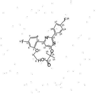 CCOc1cc(F)ccc1-c1cc(OC(C)(C)C(=O)O)nc(-c2ccc(F)cc2)n1